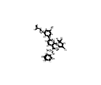 CC(C)COc1cc(F)cc(-c2ccc(C(=O)NSc3ccccc3)c(N3CC(C)CC3(C)C)n2)c1